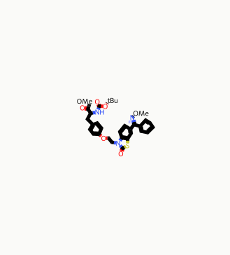 CO/N=C(\c1ccccc1)c1ccc2c(c1)sc(=O)n2CCOc1ccc(CC(NC(=O)OC(C)(C)C)C(=O)OC)cc1